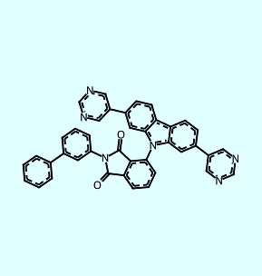 O=C1c2cccc(-n3c4cc(-c5cncnc5)ccc4c4ccc(-c5cncnc5)cc43)c2C(=O)N1c1cccc(-c2ccccc2)c1